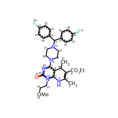 CCOC(=O)C1=C(C)Nc2c(c(N3CCN(C(c4ccc(F)cc4)c4ccc(F)cc4)CC3)nc(=O)n2CCOC)C1C